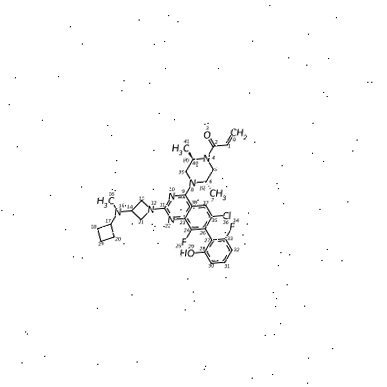 C=CC(=O)N1C[C@H](C)N(c2nc(N3CC(N(C)C4CCC4)C3)nc3c(F)c(-c4c(O)cccc4F)c(Cl)cc23)C[C@H]1C